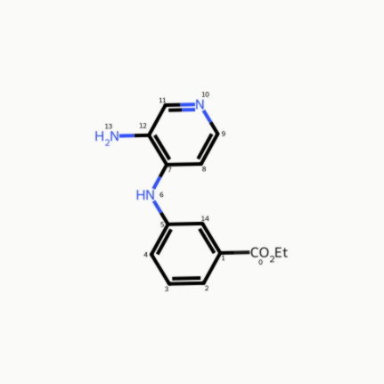 CCOC(=O)c1cccc(Nc2ccncc2N)c1